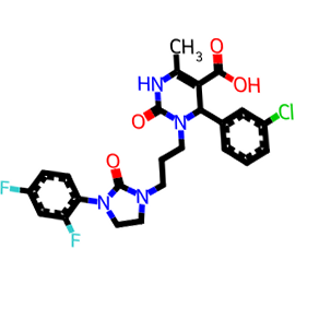 CC1=C(C(=O)O)C(c2cccc(Cl)c2)N(CCCN2CCN(c3ccc(F)cc3F)C2=O)C(=O)N1